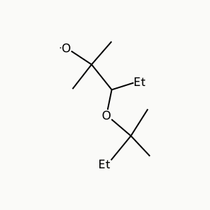 CCC(OC(C)(C)CC)C(C)(C)[O]